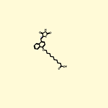 O=C(O)CCCCCCCCCOc1ccc(/C=C2\SC(=O)NC2=O)c2ccccc12